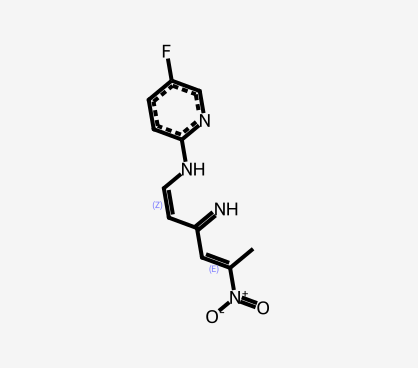 C/C(=C\C(=N)/C=C\Nc1ccc(F)cn1)[N+](=O)[O-]